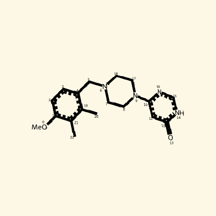 COc1ccc(CN2CCN(c3cc(=O)[nH]cn3)CC2)c(C)c1C